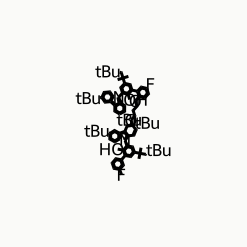 CC(C)(C)CC(C)(C)c1cc(-c2cccc(F)c2)c(O)c(-n2c3c(c4cc(C(C)(C)C)ccc42)CC(OCCCOc2ccc(F)cc2-c2cc(C(C)(C)CC(C)(C)C)cc(-n4c5ccc(C(C)(C)C)cc5c5cc(C(C)(C)C)ccc54)c2O)(C(C)(C)C)C=C3)c1